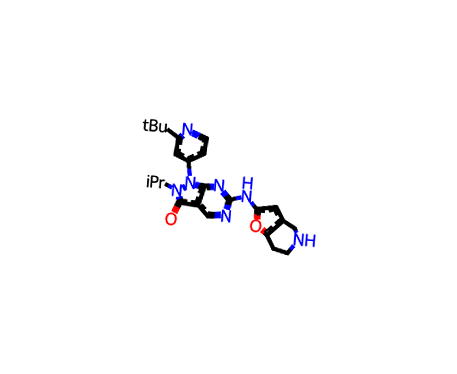 CC(C)n1c(=O)c2cnc(Nc3cc4c(o3)CCNC4)nc2n1-c1ccnc(C(C)(C)C)c1